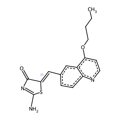 CCCCOc1ccnc2ccc(/C=C3\SC(N)=NC3=O)cc12